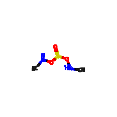 N#CNOS(=O)ONC#N